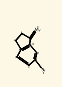 N=C1CCc2ccc(Br)cc21